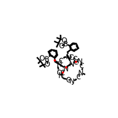 CN1CCN(C)CCN2CCN(C)CCN(Cc3ccccc3B3OC(C)(C)C(C)(C)O3)CCN(CC1)CCN(C)CCN(Cc1ccccc1B1OC(C)(C)C(C)(C)O1)CC2